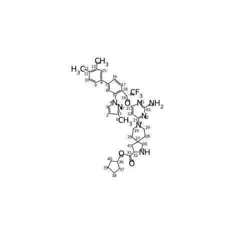 Cc1ccn(-c2cc(-c3ccc(C)c(C)c3)ccc2[C@@H](Oc2cc(N3CCC4(CC3)CNC(C(=O)OC3CCCC3)C4)nc(N)n2)C(F)(F)F)n1